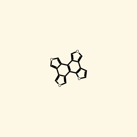 c1cc2c3cocc3c3c4cocc4c4cocc4c3c2o1